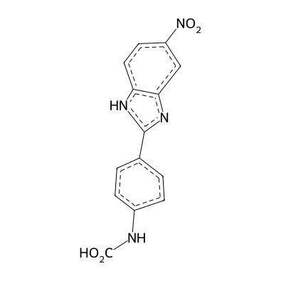 O=C(O)Nc1ccc(-c2nc3cc([N+](=O)[O-])ccc3[nH]2)cc1